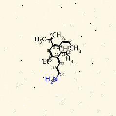 C=C(C)C(=C\C=C/C)/C=C(CC)\C(=C/C=C/N)C(=C)C